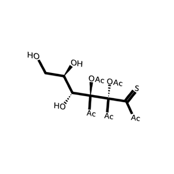 CC(=O)O[C@@](C(C)=O)(C(=S)C(C)=O)[C@](OC(C)=O)(C(C)=O)[C@H](O)[C@H](O)CO